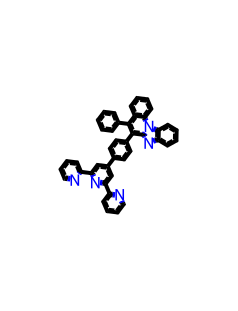 c1ccc(-c2c(-c3ccc(-c4cc(-c5ccccn5)nc(-c5ccccn5)c4)cc3)c3nc4ccccc4n3c3ccccc23)cc1